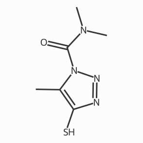 Cc1c(S)nnn1C(=O)N(C)C